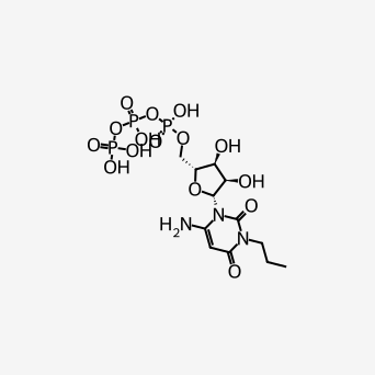 CCCn1c(=O)cc(N)n([C@@H]2O[C@H](COP(=O)(O)OP(=O)(O)OP(=O)(O)O)[C@@H](O)[C@H]2O)c1=O